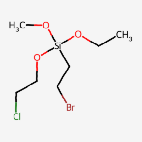 CCO[Si](CCBr)(OC)OCCCl